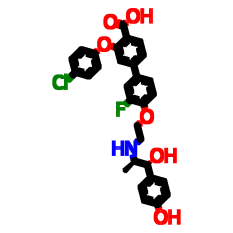 C[C@@H](NCCOc1ccc(-c2ccc(C(=O)O)c(Oc3ccc(Cl)cc3)c2)cc1F)[C@H](O)c1ccc(O)cc1